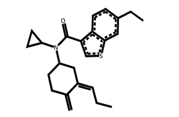 C=C1CCC(N(C(=O)c2csc3cc(CC)ccc23)C2CC2)C/C1=C/CC